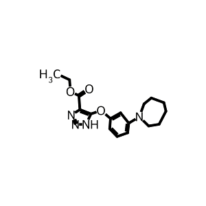 CCOC(=O)c1nn[nH]c1Oc1cccc(N2CCCCCC2)c1